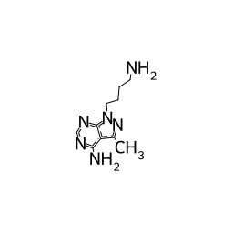 Cc1nn(CCCCN)c2ncnc(N)c12